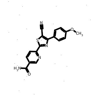 COc1ccc(-c2nc(-c3ccc(C(N)=O)cn3)sc2C#N)cc1